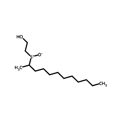 CCCCCCCCCCC(C)[S+]([O-])CCO